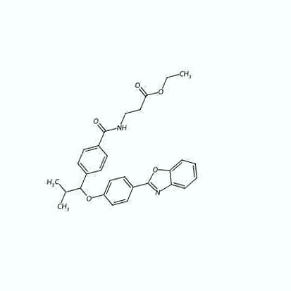 CCOC(=O)CCNC(=O)c1ccc(C(Oc2ccc(-c3nc4ccccc4o3)cc2)C(C)C)cc1